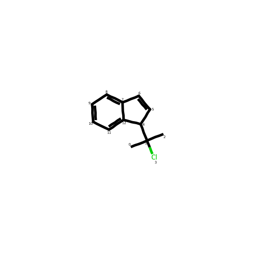 CC(C)(Cl)C1C=Cc2ccccc21